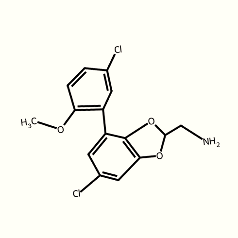 COc1ccc(Cl)cc1-c1cc(Cl)cc2c1OC(CN)O2